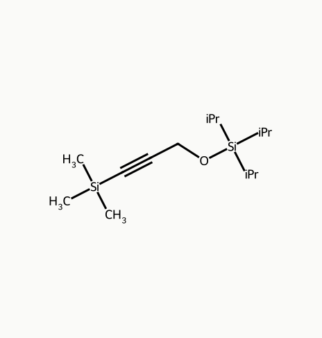 CC(C)[Si](OCC#C[Si](C)(C)C)(C(C)C)C(C)C